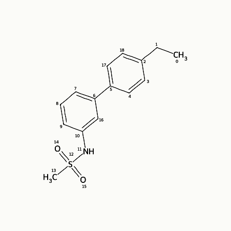 CCc1ccc(-c2cccc(NS(C)(=O)=O)c2)cc1